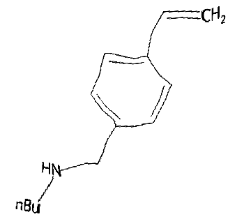 C=Cc1ccc(CNCCCC)cc1